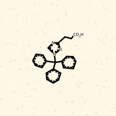 O=C(O)CCc1ncn(C(c2ccccc2)(c2ccccc2)c2ccccc2)n1